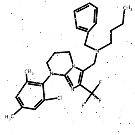 CCCCN(Cc1ccccc1)Cc1c(C(F)(F)F)nc2n1CCCN2c1c(C)cc(C)cc1Cl